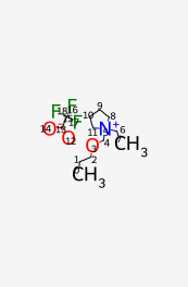 CCCOC[N+]1(CC)CCCC1.O=C([O-])C(F)(F)F